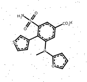 CN(c1ccco1)c1cc(C(=O)O)cc(S(N)(=O)=O)c1-c1ccsc1